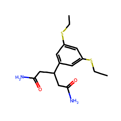 CCSc1cc(SCC)cc(C(CC(N)=O)CC(N)=O)c1